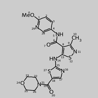 COc1ccc(NC(=O)c2c(C)nsc2Nc2ncc(C(=O)N3CCOCC3)s2)cn1